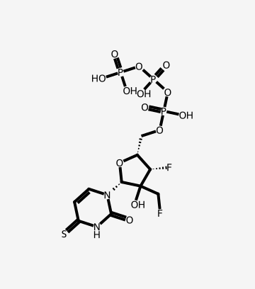 O=c1[nH]c(=S)ccn1[C@@H]1O[C@H](COP(=O)(O)OP(=O)(O)OP(=O)(O)O)[C@H](F)C1(O)CF